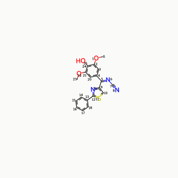 COc1cc(C(=NC#N)c2csc(-c3ccccc3)n2)cc(OC)c1O